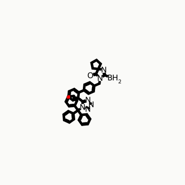 BC1=NC2(CCCC2)C(=O)N1Cc1ccc(-c2ccccc2-c2nnnn2C(c2ccccc2)(c2ccccc2)c2ccccc2)cc1